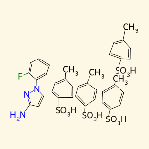 Cc1ccc(S(=O)(=O)O)cc1.Cc1ccc(S(=O)(=O)O)cc1.Cc1ccc(S(=O)(=O)O)cc1.Cc1ccc(S(=O)(=O)O)cc1.Nc1ccn(-c2ccccc2F)n1